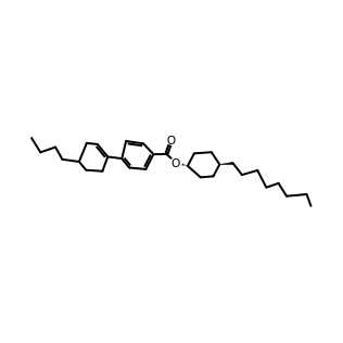 CCCCCCCC[C@H]1CC[C@H](OC(=O)c2ccc(C3=CCC(CCCC)CC3)cc2)CC1